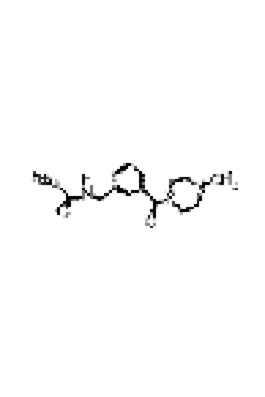 CN1CCN(C(=O)c2cccc(CNC(=O)C(C)(C)C)c2)CC1